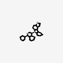 c1ccc(-c2ncc(-n3c4ccccc4c4c5ccsc5ccc43)c3ccccc23)cc1